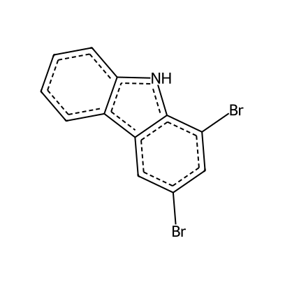 Brc1cc(Br)c2[nH]c3ccccc3c2c1